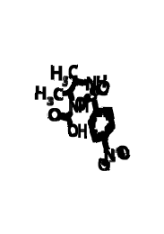 CC(NC(=O)O)C(C)NS(=O)(=O)c1ccc([N+](=O)[O-])cc1